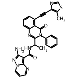 Cc1scnc1C#Cc1cccc2nc(C(C)NC(=O)c3c(N)nn4cccnc34)n(-c3ccccc3)c(=O)c12